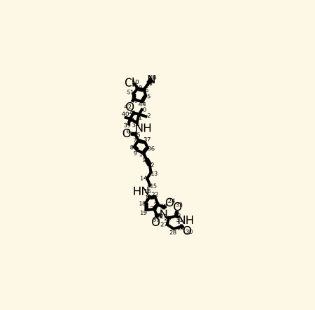 CC1(C)[C@H](NC(=O)c2ccc(C#CCCCNc3ccc4c(c3)C(=O)N(C3CCC(=O)NC3=O)C4=O)cc2)C(C)(C)[C@H]1Oc1ccc(C#N)c(Cl)c1